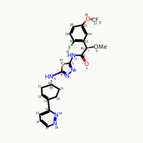 CO[C@@H](C(=O)Nc1nnc(N[C@H]2CC=C(c3cccnn3)CC2)s1)c1cc(OC(F)(F)F)ccc1F